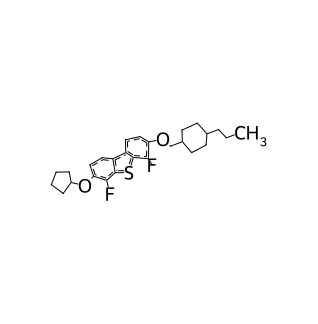 CCCC1CCC(COc2ccc3c(sc4c(F)c(OC5CCCC5)ccc43)c2F)CC1